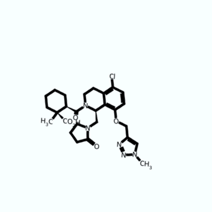 Cn1cc(COc2ccc(Cl)c3c2[C@@H](CN2CCCC2=O)N(C(=O)[C@@H]2CCCC[C@]2(C)C(=O)O)CC3)nn1